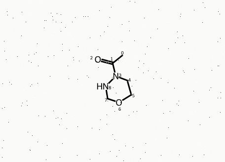 CC(=O)N1CCOCN1